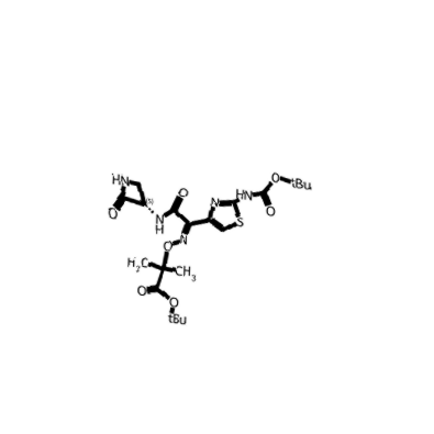 CC(C)(C)OC(=O)Nc1nc(C(=NOC(C)(C)C(=O)OC(C)(C)C)C(=O)N[C@H]2CNC2=O)cs1